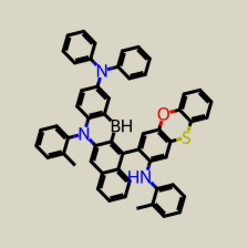 Cc1ccccc1Nc1cc2c(cc1-c1c3c(cc4ccccc14)N(c1ccccc1C)c1ccc(N(c4ccccc4)c4ccccc4)cc1B3)Oc1ccccc1S2